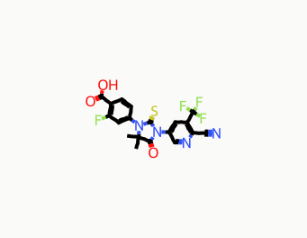 CC1(C)C(=O)N(c2cnc(C#N)c(C(F)(F)F)c2)C(=S)N1c1ccc(C(=O)O)c(F)c1